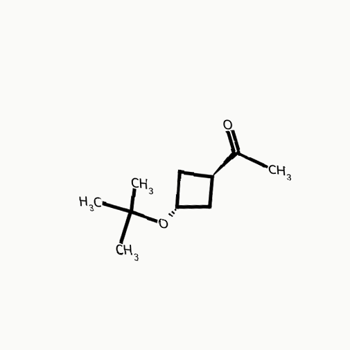 CC(=O)[C@H]1C[C@H](OC(C)(C)C)C1